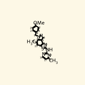 COc1ccc(Cn2ncc3c4nc(Nc5nccc(C)n5)sc4cc(C)c32)cc1